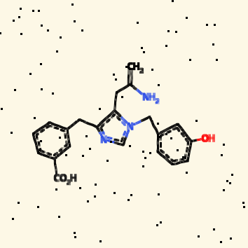 C=C(N)Cc1c(Cc2cccc(C(=O)O)c2)ncn1Cc1cccc(O)c1